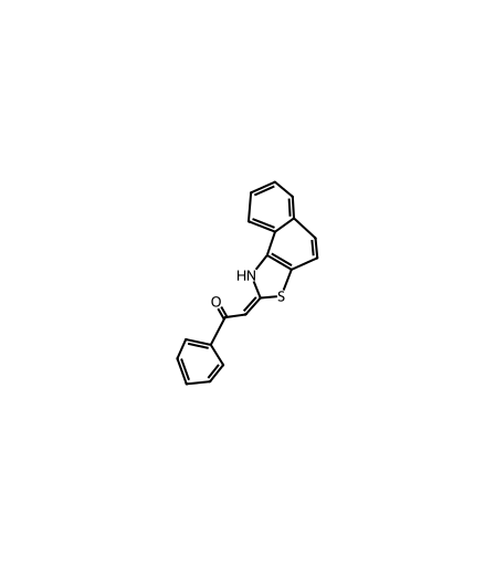 O=C(C=C1Nc2c(ccc3ccccc23)S1)c1ccccc1